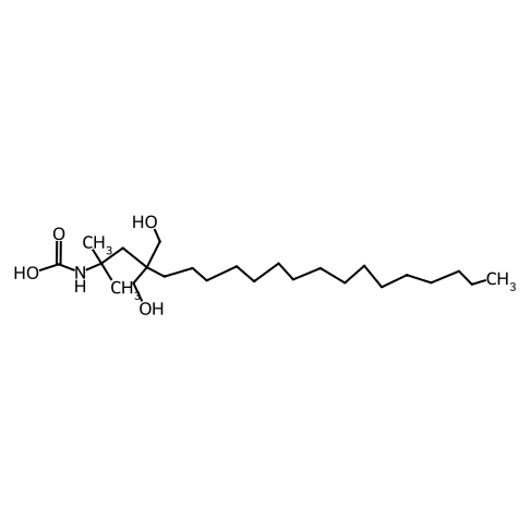 CCCCCCCCCCCCCCCCC(CO)(CO)CC(C)(C)NC(=O)O